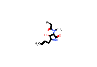 C/C=C/CC1NC(=O)C(N(C)C(=O)CC(C)C)[C@H]1O